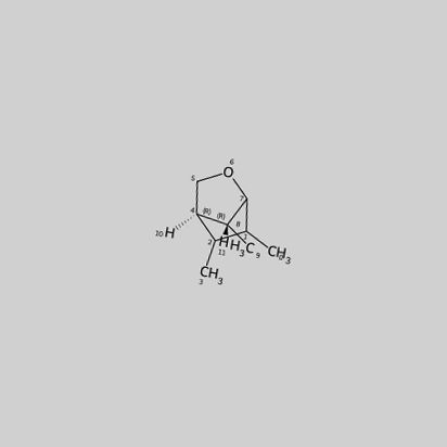 CC1C(C)[C@H]2COC1[C@@H]2C